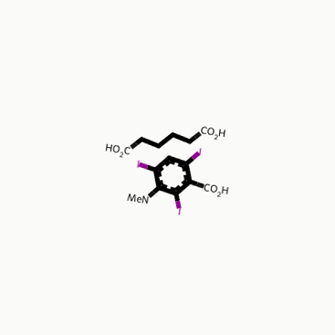 CNc1c(I)cc(I)c(C(=O)O)c1I.O=C(O)CCCCC(=O)O